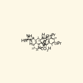 CC(C)c1cc(C(C)C)c(S(=O)(=O)NC(CCCNC(=N)N)C(=O)C2CCCCN2C(=O)O)c(C(C)C)c1